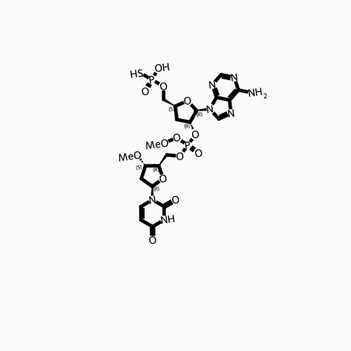 COOP(=O)(OC[C@H]1O[C@@H](n2ccc(=O)[nH]c2=O)C[C@@H]1OC)O[C@@H]1C[C@@H](COP(=O)(O)S)O[C@H]1n1cnc2c(N)ncnc21